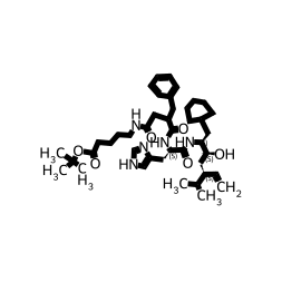 C=C[C@@H](C[C@H](O)[C@H](CC1CCCCC1)NC(=O)[C@H](Cc1c[nH]cn1)NC(=O)C(CC(=O)NCCCCC(=O)OC(C)(C)C)Cc1ccccc1)C(C)C